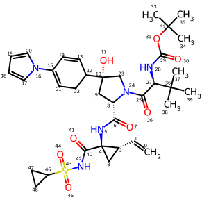 C=C[C@@H]1C[C@]1(NC(=O)[C@@H]1C[C@@](O)(C2C=CC(n3cccc3)=CC2)CN1C(=O)[C@@H](NC(=O)OC(C)(C)C)C(C)(C)C)C(=O)NS(=O)(=O)C1CC1